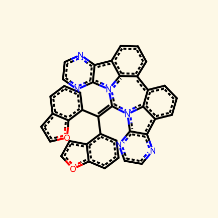 c1cc(C(c2cccc3occc23)=c2n3c4nccnc4c4cccc(c5cccc6c7nccnc7n2c56)c43)c2occc2c1